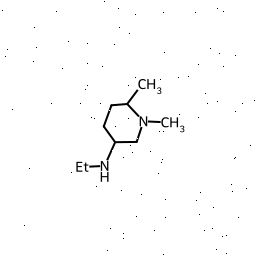 CCNC1CCC(C)N(C)C1